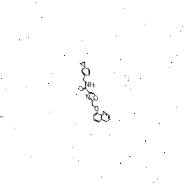 O=C(NCC1=CC2(C=C1)CC2)c1coc(COc2cccc3cccnc23)n1